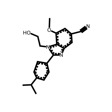 COc1cc(C#N)cc2nc(-c3ccc(C(C)C)cc3)n(CCO)c12